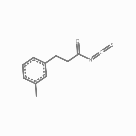 Cc1cccc(CCC(=O)N=C=S)c1